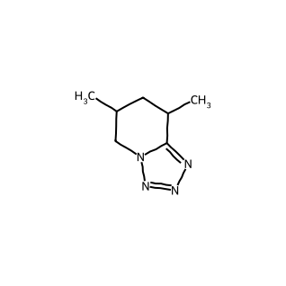 CC1CC(C)c2nnnn2C1